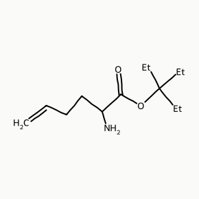 C=CCCC(N)C(=O)OC(CC)(CC)CC